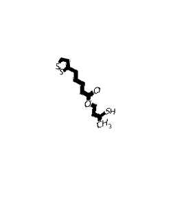 CC(S)CCOC(=O)CCCCC1CCSS1